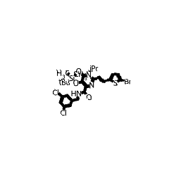 CC(C)n1c(C=Cc2ccc(Br)s2)nc(C(=O)NCc2cc(Cl)cc(Cl)c2)c(O[Si](C)(C)C(C)(C)C)c1=O